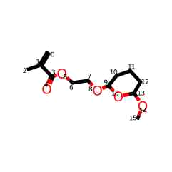 C=C(C)C(=O)OCCOC1CCCC(OC)O1